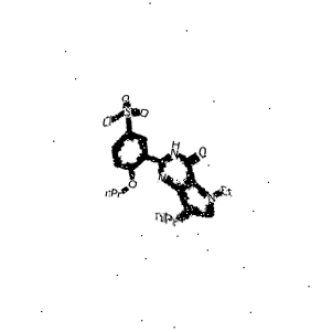 CCCOc1ccc(S(=O)(=O)Cl)cc1-c1nc2c(CCC)cn(CC)c2c(=O)[nH]1